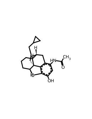 CC(=O)Nc1cc(O)c2c3c1C[C@@H]1[C@@H]4CCC[C@H](O2)[C@]34CCN1CC1CC1